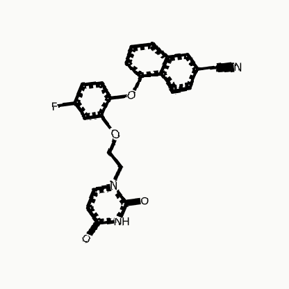 N#Cc1ccc2c(Oc3ccc(F)cc3OCCn3ccc(=O)[nH]c3=O)cccc2c1